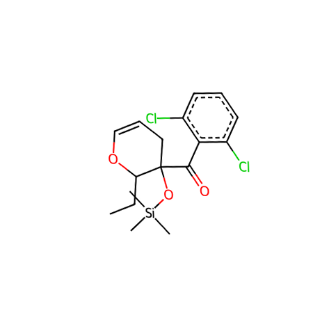 CCC1OC=CCC1(O[Si](C)(C)C)C(=O)c1c(Cl)cccc1Cl